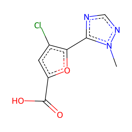 Cn1ncnc1-c1oc(C(=O)O)cc1Cl